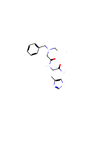 NC(=O)[C@H](Cc1c[nH]cn1)NC(=O)CN(CC(=O)O)Cc1ccccc1